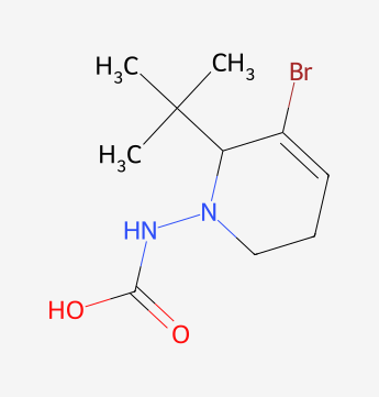 CC(C)(C)C1C(Br)=CCCN1NC(=O)O